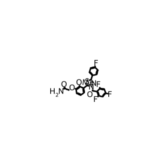 COc1c(OCC(N)=O)cccc1C1SC(c2ccc(F)cc2)=NN1C(=O)c1c(F)cc(F)cc1F